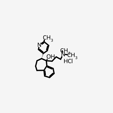 Cc1ccc([C@H]2CCCc3ccccc3[C@@]2(O)CCCN(C)C)cn1.Cl